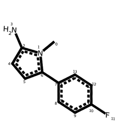 Cn1c(N)ccc1-c1ccc(F)cc1